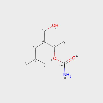 CC(C)CC(CO)C(C)OC(N)=O